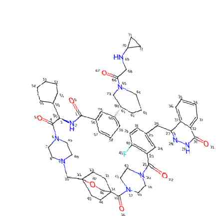 O=C(N[C@@H](C(=O)N1CCN(CC23CCC(C(=O)N4CCN(C(=O)c5cc(Cc6n[nH]c(=O)c7ccccc67)ccc5F)CC4)(CC2)CO3)CC1)C1CCCCC1)c1cccc([C@H]2CCCN(C(=O)CNC3CC3)C2)c1